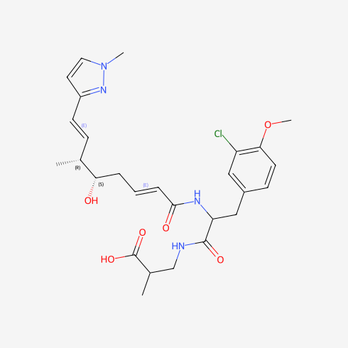 COc1ccc(CC(NC(=O)/C=C/C[C@H](O)[C@H](C)/C=C/c2ccn(C)n2)C(=O)NCC(C)C(=O)O)cc1Cl